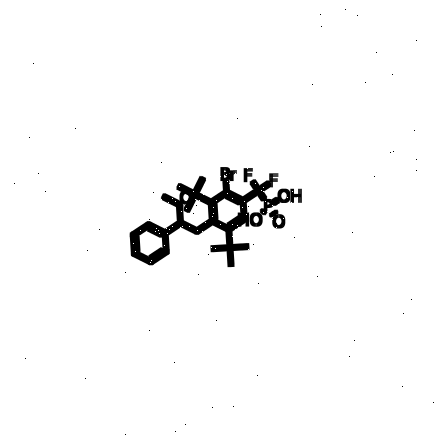 CC(=O)C(Cc1c(C(C)(C)C)cc(C(F)(F)P(=O)(O)O)c(Br)c1C(C)(C)C)c1ccccc1